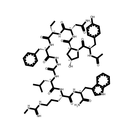 CC[C@H](NC(=O)[C@H](CC(N)=O)NC(=O)[C@@H]1C[C@@H](O)CN1C(=O)[C@@H](Cc1ccc(O)cc1)NC(C)=O)C(=O)N[C@@H](Cc1ccccc1)C(=O)NNC(=O)N[C@@H](CC(C)C)C(=O)N[C@@H](CCCNC(=N)NC)C(=O)N[C@@H](Cc1c[nH]c2ccccc12)C(N)=O